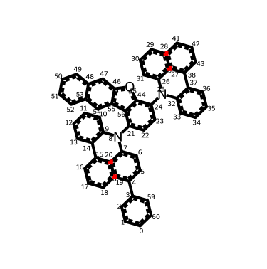 c1ccc(-c2ccc(N(c3ccccc3-c3ccccc3)c3ccc(N(c4ccccc4)c4ccccc4-c4ccccc4)c4oc5cc6ccccc6cc5c34)cc2)cc1